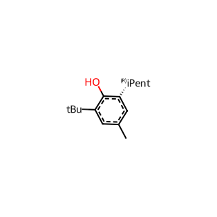 CCC[C@@H](C)c1cc(C)cc(C(C)(C)C)c1O